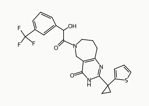 O=C(C(O)c1cccc(C(F)(F)F)c1)N1CCCc2nc(C3(c4cccs4)CC3)[nH]c(=O)c2C1